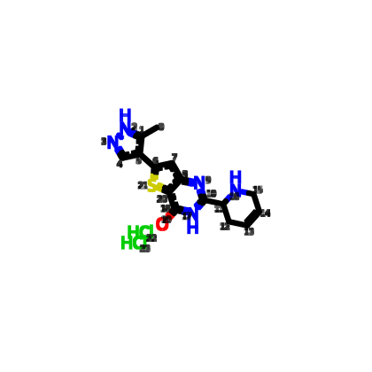 Cc1[nH]ncc1-c1cc2nc(C3CC=CCN3)[nH]c(=O)c2s1.Cl.Cl